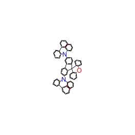 c1ccc(-c2ccccc2N(c2ccccc2)c2ccc3c(c2)-c2ccc(N(c4ccccc4)c4ccccc4-c4ccccc4)cc2C32c3ccccc3Oc3ccccc32)cc1